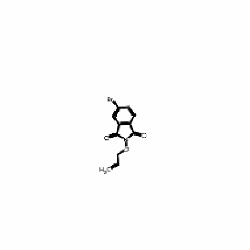 C=CCON1C(=O)c2ccc(Br)cc2C1=O